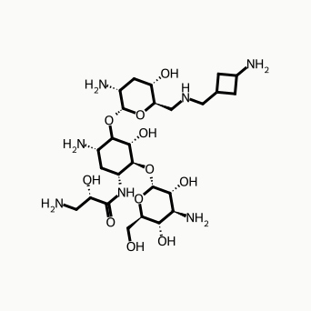 NC[C@H](O)C(=O)N[C@@H]1C[C@H](N)C(O[C@H]2O[C@H](CNCC3CC(N)C3)[C@@H](O)C[C@H]2N)[C@H](O)[C@H]1O[C@H]1O[C@H](CO)[C@@H](O)[C@H](N)[C@H]1O